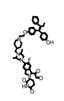 CCC(=C(c1ccc(O)cc1)c1ccc(OCCN2CCC(CN3C(C)CN(c4cc5c(cc4F)C(C(=O)C=O)N(C4CCC(=O)NC4=O)C5)CC3C)CC2)cc1)c1ccccc1